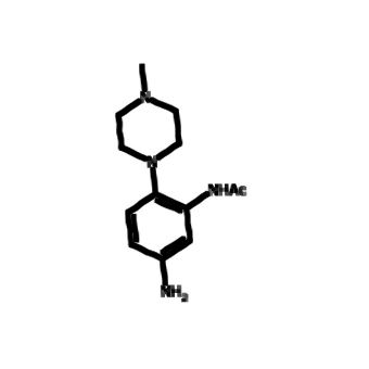 CC(=O)Nc1cc(N)ccc1N1CCN(C)CC1